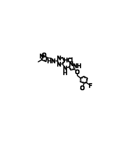 COc1cc(COc2cc(Nc3ccnc(NCc4cc(C)no4)n3)n[nH]2)ccc1F.Cl